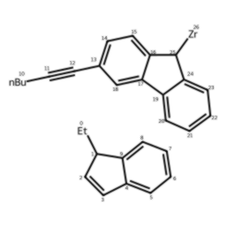 CCC1C=Cc2ccccc21.CCCCC#Cc1ccc2c(c1)-c1ccccc1[CH]2[Zr]